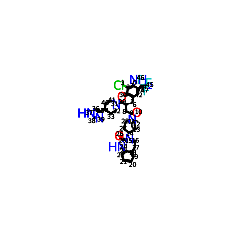 Nc1c(Cl)cc(C[C@@H](CC(=O)N2CCC(N3CCc4ccccc4NC3=O)CC2)C(=O)N2CCC(c3c[nH]cn3)CC2)cc1C(F)(F)F